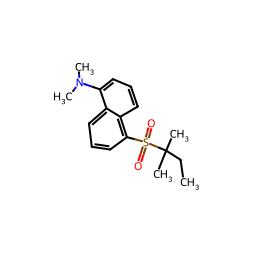 CCC(C)(C)S(=O)(=O)c1cccc2c(N(C)C)cccc12